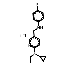 CCN(c1ccc(CNc2ccc(F)cc2)cn1)C1CC1.Cl